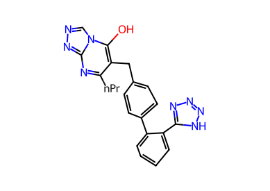 CCCc1nc2nncn2c(O)c1Cc1ccc(-c2ccccc2-c2nnn[nH]2)cc1